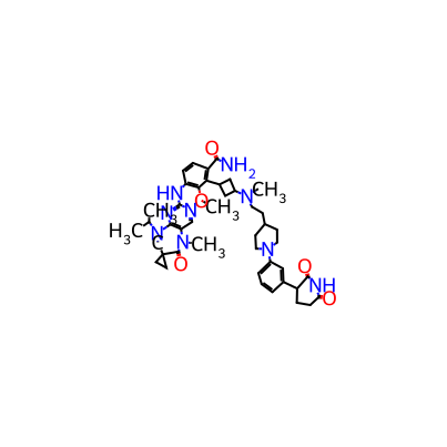 COc1c(Nc2ncc3c(n2)N(C(C)C)CC2(CC2)C(=O)N3C)ccc(C(N)=O)c1C1CC(N(C)CCC2CCN(c3cccc(C4CCC(=O)NC4=O)c3)CC2)C1